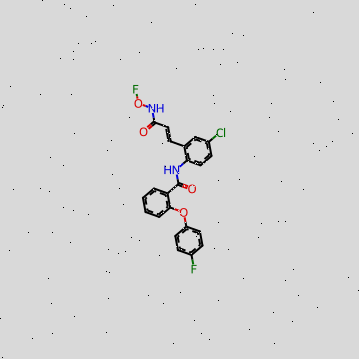 O=C(/C=C/c1cc(Cl)ccc1NC(=O)c1ccccc1Oc1ccc(F)cc1)NOF